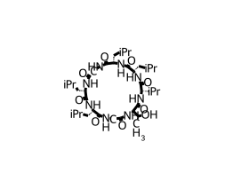 CC(C)C[C@@H]1NC(=O)CNC(=O)[C@H](CC(C)C)NC(=O)[C@H](CC(C)C)NC(=O)[C@H](C(C)C)NC(=O)[C@H]([C@@H](C)O)NC(=O)CNC(=O)[C@H](CC(C)C)NC1=O